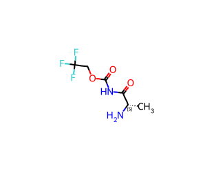 C[C@H](N)C(=O)NC(=O)OCC(F)(F)F